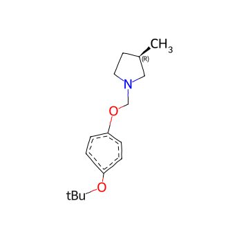 C[C@@H]1CCN(COc2ccc(OC(C)(C)C)cc2)C1